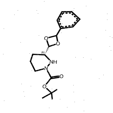 CC(C)(C)OC(=O)N1CCC[C@H](C2OC(c3ccccc3)O2)N1